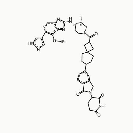 CC(C)Oc1c(-c2cn[nH]c2)ncc2nc(N[C@H]3CCN(C(=O)C4CC5(CCN(c6ccc7c(c6)CN(C6CCC(=O)NC6=O)C7=O)CC5)C4)C[C@H]3C)nn12